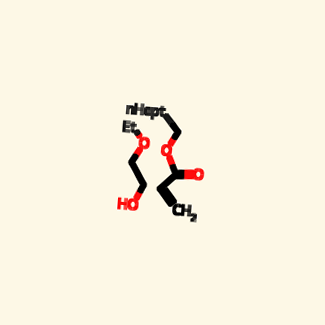 C=CC(=O)OCCCCCCCC.CCOCCO